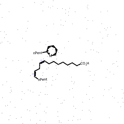 CCCCC/C=C\C/C=C\CCCCCCCC(=O)O.CCCCCc1ccccn1